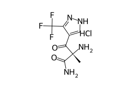 C[C@@](N)(C(N)=O)C(=O)c1c[nH]nc1C(F)(F)F.Cl